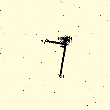 C#CC#CC#CC#CC#CC#CC#CC#CC#CC#CC#CC#CCC(=O)N[C@@H](CCC1OC(CO)C(O)C(O)C1O)[C@@H](O)[C@H](O)CCCCCCCCCCCCCC